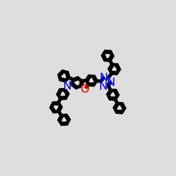 c1ccc(-c2ccc(-c3nc(-c4cccc(-c5ccccc5)c4)nc(-c4ccc5c(c4)oc4cc6c(cc45)c4ccccc4n6-c4ccc(-c5cccc(-c6ccccc6)c5)cc4)n3)cc2)cc1